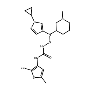 Cc1cc(NC(=O)NSN(c2cnn(C3CC3)c2)C2CCCN(C)C2)c(C(C)C)s1